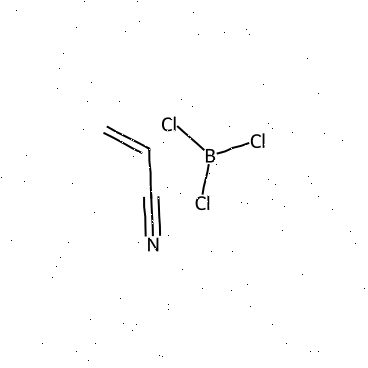 C=CC#N.ClB(Cl)Cl